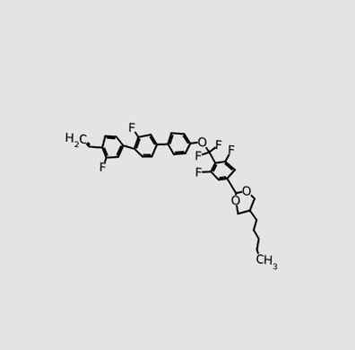 C=Cc1ccc(-c2ccc(-c3ccc(OC(F)(F)c4c(F)cc(C5OCC(CCCCC)CO5)cc4F)cc3)cc2F)cc1F